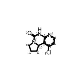 O=C1Nc2nccc(Cl)c2C2CCCN12